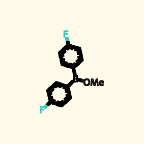 COB(c1ccc(F)cc1)c1ccc(F)cc1